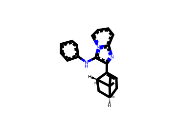 CC1(C)[C@H]2CC=C(c3nc4ccccn4c3Nc3ccccc3)[C@H]1C2